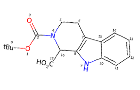 CC(C)(C)OC(=O)N1CCc2c([nH]c3ccccc23)C1C(=O)O